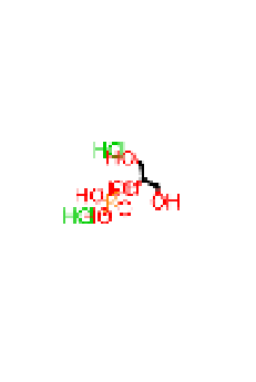 Cl.Cl.O=P(O)(O)O.OCC(O)CO